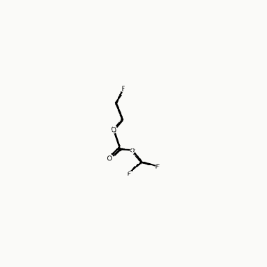 O=C(OCCF)OC(F)F